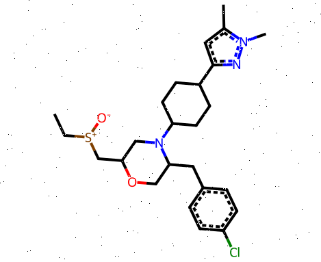 CC[S+]([O-])CC1CN(C2CCC(c3cc(C)n(C)n3)CC2)C(Cc2ccc(Cl)cc2)CO1